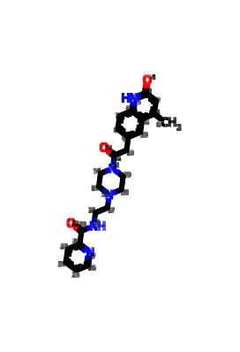 Cc1cc(=O)[nH]c2ccc(CC(=O)N3CCN(CCNC(=O)c4ccccn4)CC3)cc12